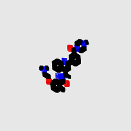 Cc1ccc(OCCN(C)C)cc1C(=O)N[C@H](C)c1cc(-c2cccc(C(=O)N3CCN(C)CC3)c2)nc2ccccc12